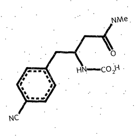 CNC(=O)CC(Cc1ccc(C#N)cc1)NC(=O)O